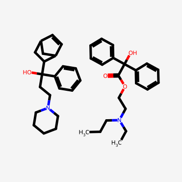 CCCN(CC)CCOC(=O)C(O)(c1ccccc1)c1ccccc1.OC(CCN1CCCCC1)(c1ccccc1)C1CC2C=CC1C2